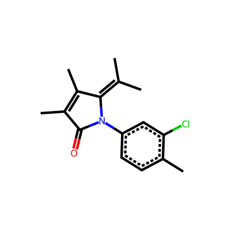 CC(C)=C1C(C)=C(C)C(=O)N1c1ccc(C)c(Cl)c1